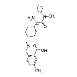 Cc1ccc(COC[C@H]2CC[C@H]([C@H](N)C(=O)N(C)C3CCC3)CC2)c(C(=O)O)c1